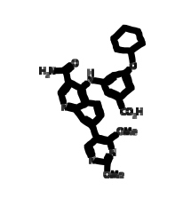 COc1ncc(-c2ccc3c(Nc4cc(OC5CCCCC5)cc(C(=O)O)c4)c(C(N)=O)cnc3c2)c(OC)n1